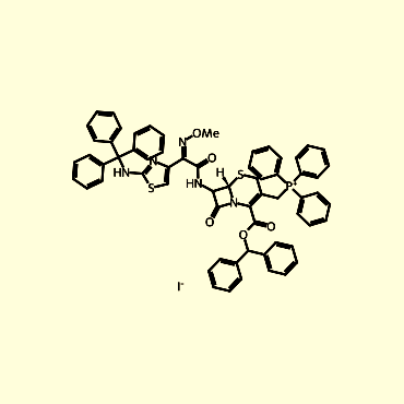 CO/N=C(\C(=O)NC1C(=O)N2C(C(=O)OC(c3ccccc3)c3ccccc3)=C(C[P+](c3ccccc3)(c3ccccc3)c3ccccc3)CS[C@@H]12)c1csc(NC(c2ccccc2)(c2ccccc2)c2ccccc2)n1.[I-]